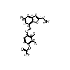 CCC(=O)Oc1ccc(OCc2cc(F)cc3cc(CC(C)C)oc23)c(C)c1C